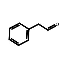 O=[C]Cc1ccccc1